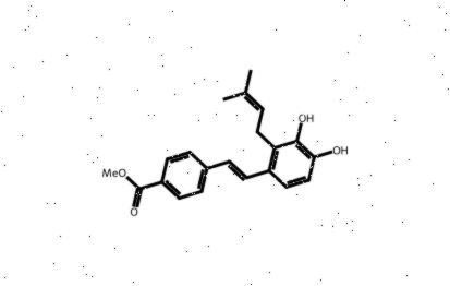 COC(=O)c1ccc(/C=C/c2ccc(O)c(O)c2CC=C(C)C)cc1